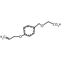 C=CCOc1ccc(COCC(=O)O)cc1